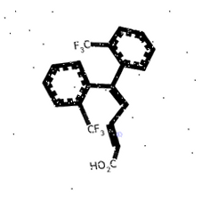 O=C(O)/C=C/C=C(c1ccccc1C(F)(F)F)c1ccccc1C(F)(F)F